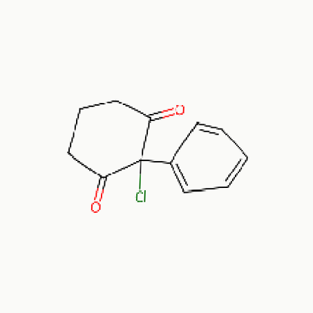 O=C1CCCC(=O)C1(Cl)c1ccccc1